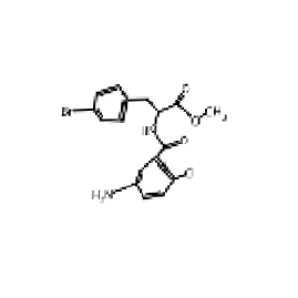 COC(=O)[C@H](Cc1ccc(Br)cc1)NC(=O)c1cc(N)ccc1Cl